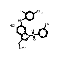 CNCc1cn(S(=O)(=O)c2cccc(C#N)c2)c2cc(Nc3ccc(C)cc3F)ccc12.Cl